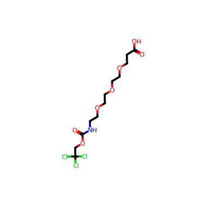 O=C(O)CCOCCOCCOCCNC(=O)OCC(Cl)(Cl)Cl